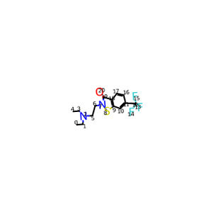 CCN(CC)CCn1sc2cc(C(F)(F)F)ccc2c1=O